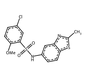 COc1ccc(Cl)cc1S(=O)(=O)Nc1ccc2sc(C)nc2c1